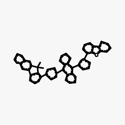 CC1(C)c2cc3ccccc3cc2-c2cccc(-c3ccc(-c4c5ccccc5c(-c5cccc(-c6cccc7c6oc6ccccc67)c5)c5ccccc45)cc3)c21